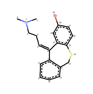 CN(C)CCC=C1c2ccccc2CSc2ccc(Br)cc21